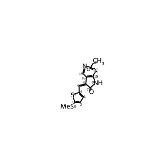 CSc1ccc(C=C2C(=O)Nc3nc(C)ncc32)s1